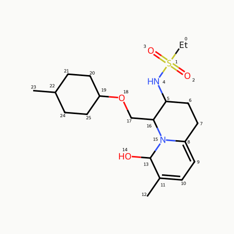 CCS(=O)(=O)NC1CCC2=CC=C(C)C(O)N2C1COC1CCC(C)CC1